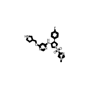 Cn1cnc(S(=O)(=O)N2C[C@H](Nc3cc(OCC4CCNC4)ncn3)[C@@H](c3ccc(F)cc3)C2)c1